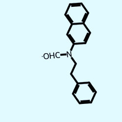 O=[C]N(CCc1ccccc1)c1ccc2ccccc2c1